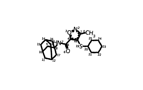 Cc1noc(C(=O)NC23CC4CC(CC(C4)C2)C3)c1SC1CCCCC1